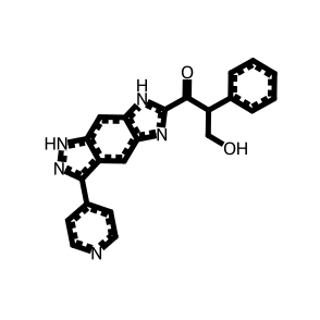 O=C(c1nc2cc3c(-c4ccncc4)n[nH]c3cc2[nH]1)C(CO)c1ccccc1